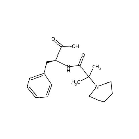 CC(C)(C(=O)N[C@@H](Cc1ccccc1)C(=O)O)N1CCCC1